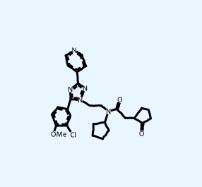 COc1ccc(-c2nc(-c3ccncc3)nn2CCN(C(=O)CC2CCCC2=O)C2CCCC2)cc1Cl